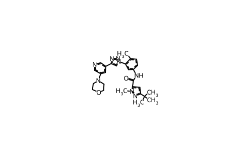 Cc1ccc(NC(=O)c2cc(C(C)(C)C)nn2C)cc1-n1cc(-c2cncc(N3CCOCC3)c2)nn1